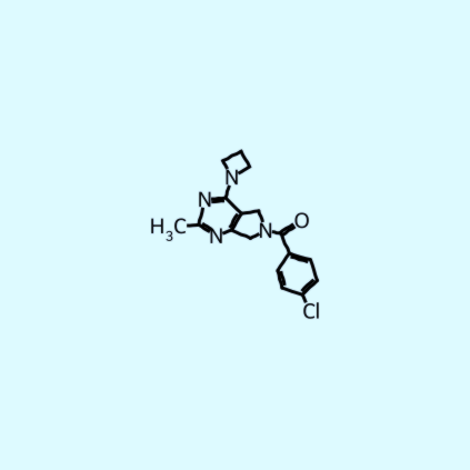 Cc1nc2c(c(N3CCC3)n1)CN(C(=O)c1ccc(Cl)cc1)C2